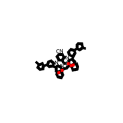 Cc1cccc(-c2ccc3c(c2)c2ccccc2n3-c2cc(C#N)cc(-n3c4ccccc4c4cc(-c5cccc(C)c5)ccc43)c2-c2nc(-c3ccccc3)cc(-c3ccccc3)n2)c1